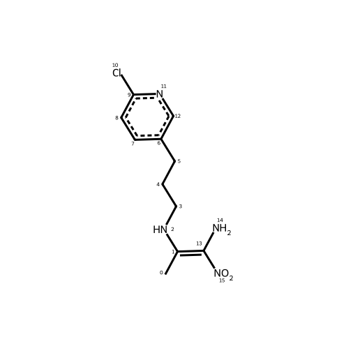 CC(NCCCc1ccc(Cl)nc1)=C(N)[N+](=O)[O-]